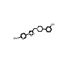 COc1ccc(-n2cc(CN3CCC(c4cccc(O)c4)CC3)nn2)cn1